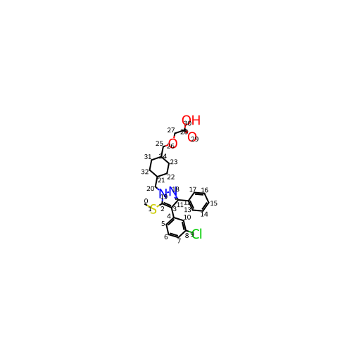 CSc1c(-c2cccc(Cl)c2)c(-c2ccccc2)nn1CC1CCC(COCC(=O)O)CC1